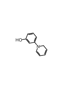 Oc1cccc(N2C=CC=CC2)c1